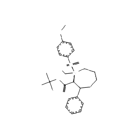 COc1ccc(S(=O)(=O)[N+]2(CS)CCCCC(c3ccccc3)C2C(=O)OC(C)(C)C)cc1